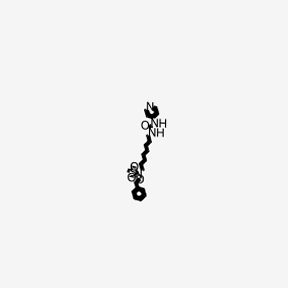 CS(=O)(=O)N(CCCCCCCCNC(=O)Nc1ccncc1)OCc1ccccc1